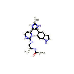 COC(=O)N[C@@H](C)CNc1nccc(-c2nc(C(C)(C)C)[nH]c2C2=CC3C=CNC3C=C2)n1